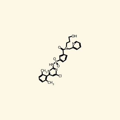 Cc1cccc(C)c1-c1cc(Cl)nc(NS(=O)(=O)c2cccc(C(=O)N(CCCO)Cc3ccccn3)c2)n1